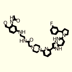 CC(=O)Nc1cc(NCCNC(=O)CN2CCN(c3cccc(-c4cnc(/C=C\C(=N)N5CCCC5c5cccc(F)c5)[nH]4)n3)CC2)ccc1C=O